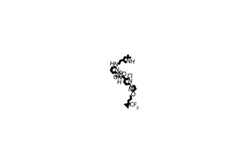 CC1(C)CC(CCNc2cccc(S(=O)(=O)NC(=O)c3ccc(-n4ccc(OCCCC5(C(F)(F)F)CC5)n4)nc3Cl)n2)CN1